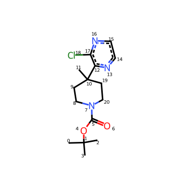 CC(C)(C)OC(=O)N1CCC(C)(c2nccnc2Cl)CC1